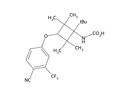 CC(C)(C)C1(NC(=O)O)C(C)(C)C(Oc2ccc(C#N)c(C(F)(F)F)c2)C1(C)C